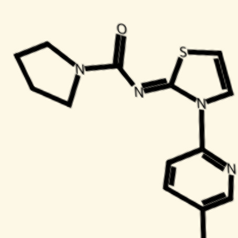 O=C(N=c1sccn1-c1ccc(Cl)cn1)N1CCCC1